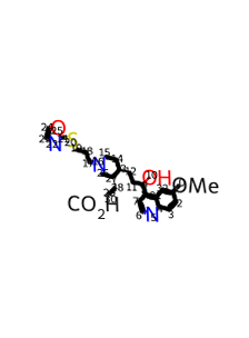 COc1ccc2nccc([C@H](O)CC[C@@H]3CCN(CCCSc4ncco4)C[C@H]3CCC(=O)O)c2c1